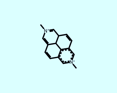 C[N+]1=CC2C=Cc3c[n+](C)cc4c3C2C(=C1)C=C4